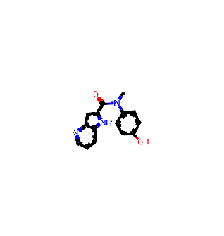 CN(C(=O)c1cc2ncccc2[nH]1)c1ccc(O)cc1